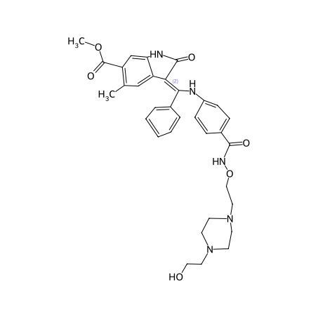 COC(=O)c1cc2c(cc1C)/C(=C(/Nc1ccc(C(=O)NOCCN3CCN(CCO)CC3)cc1)c1ccccc1)C(=O)N2